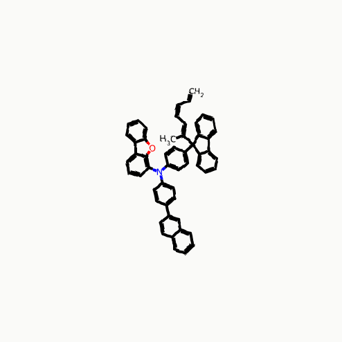 C=C/C=C\C=C(/C)C1(c2ccc(N(c3ccc(-c4ccc5ccccc5c4)cc3)c3cccc4c3oc3ccccc34)cc2)c2ccccc2-c2ccccc21